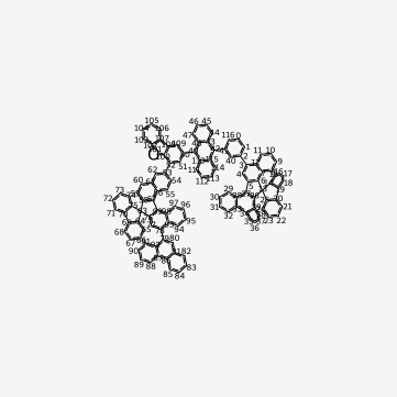 c1cc(-c2cc3c(c4ccccc24)C2(c4ccccc4-c4ccccc42)c2c-3c3ccccc3c3ccccc23)cc(-c2c3ccccc3c(-c3cc(-c4ccc5c6c(ccc5c4)C4(c5ccccc5-c5ccccc54)c4cc(-c5cc7ccccc7c7ccccc57)c5ccccc5c4-6)c4oc5ccccc5c4c3)c3ccccc23)c1